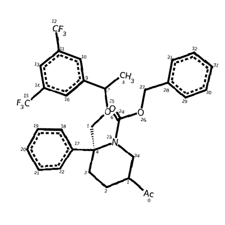 CC(=O)C1CC[C@@](COC(C)c2cc(C(F)(F)F)cc(C(F)(F)F)c2)(c2ccccc2)N(C(=O)OCc2ccccc2)C1